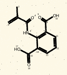 C=C(C)C(=O)Nc1c(C(=O)O)cccc1C(=O)O